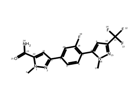 Cn1nc(-c2ccc(-c3cc(C(F)(F)F)nn3C)c(F)c2)cc1C(N)=O